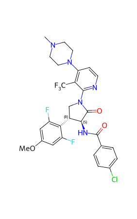 COc1cc(F)c([C@@H]2CN(c3nccc(N4CCN(C)CC4)c3C(F)(F)F)C(=O)[C@H]2NC(=O)c2ccc(Cl)cc2)c(F)c1